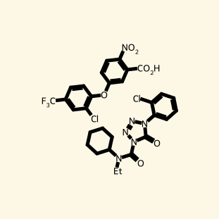 CCN(C(=O)n1nnn(-c2ccccc2Cl)c1=O)C1CCCCC1.O=C(O)c1cc(Oc2ccc(C(F)(F)F)cc2Cl)ccc1[N+](=O)[O-]